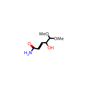 COC(OC)C(O)C=CC(N)=O